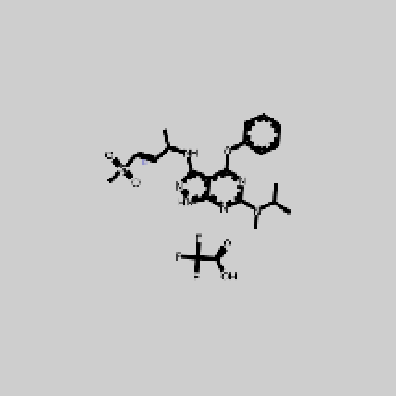 CC(/C=C/S(C)(=O)=O)Nc1n[nH]c2nc(N(C)C(C)C)nc(Oc3ccccc3)c12.O=C(O)C(F)(F)F